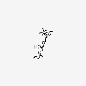 CCOC(C)OCC(O)COCCC[Si](OCC)(OCC)OCC